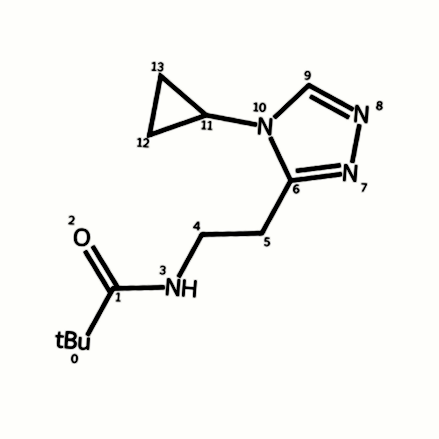 CC(C)(C)C(=O)NCCc1nncn1C1CC1